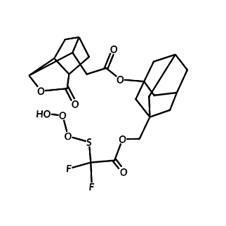 O=C(CC1C2CC3C(=O)OC1C3C2)OC12CC3CC(CC(COC(=O)C(F)(F)SOOO)(C3)C1)C2